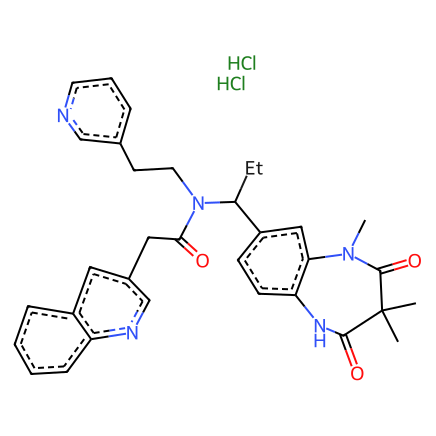 CCC(c1ccc2c(c1)N(C)C(=O)C(C)(C)C(=O)N2)N(CCc1cccnc1)C(=O)Cc1cnc2ccccc2c1.Cl.Cl